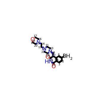 Bc1ccc2c(c1)/C(=C/N1CCN(CCN3CCOCC3)CC1)C(=O)NC2=O